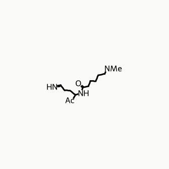 CNCCCCCC(=O)NC(CCC=N)C(C)=O